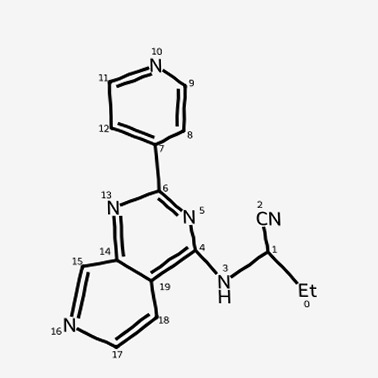 CCC(C#N)Nc1nc(-c2ccncc2)nc2cnccc12